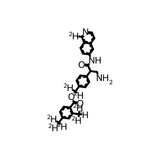 [2H]c1nccc2cc(NC(=O)C(CN)c3ccc(C([2H])([2H])OC(=O)c4ccc(C([2H])([2H])[2H])cc4C([2H])([2H])[2H])cc3)ccc12